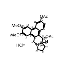 COc1cc2c3c(c4ccc(OC(C)=O)cc4c2cc1OC)[C@H](OC(C)=O)[C@@H]1CCCN1C3.Cl